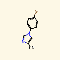 N#Cc1cn(-c2ccc(Br)cc2)cn1